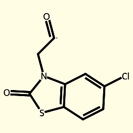 O=[C]Cn1c(=O)sc2ccc(Cl)cc21